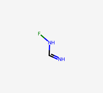 N=CNF